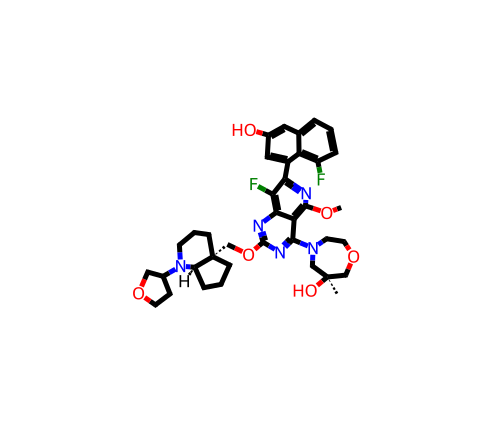 COc1nc(-c2cc(O)cc3cccc(F)c23)c(F)c2nc(OC[C@]34CCC[C@H]3N(C3CCOC3)CCC4)nc(N3CCOC[C@@](C)(O)C3)c12